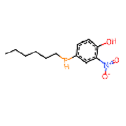 CCCCCCPc1ccc(O)c([N+](=O)[O-])c1